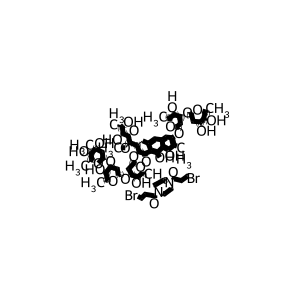 CO[C@H](C(=O)[C@@H](O)[C@@H](C)O)[C@@H]1Cc2cc3cc(O[C@H]4C[C@@H](O[C@H]5C[C@@H](O)[C@H](O)[C@@H](C)O5)[C@H](O)[C@@H](C)O4)c(C)c(O)c3c(O)c2C(=O)[C@H]1O[C@H]1C[C@@H](O[C@H]2C[C@@H](O[C@H]3C[C@](C)(O)[C@H](O)[C@@H](C)O3)[C@@H](O)[C@@H](C)O2)[C@H](O)[C@@H](C)O1.O=C(CCBr)N1CCN(C(=O)CCBr)CC1